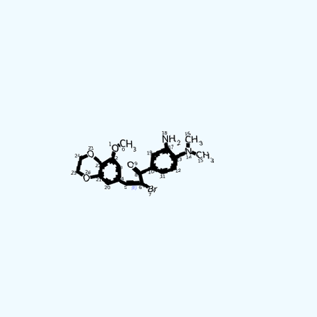 COc1cc(/C=C(/Br)C(=O)c2ccc(N(C)C)c(N)c2)cc2c1OCCO2